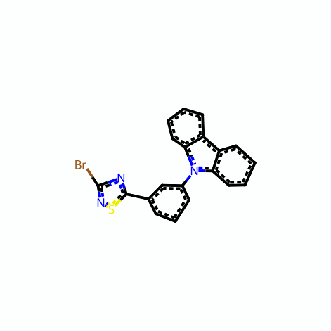 Brc1nsc(-c2cccc(-n3c4ccccc4c4ccccc43)c2)n1